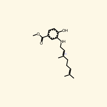 COC(=O)c1ccc(O)c(NC/C=C(\C)CCC=C(C)C)c1